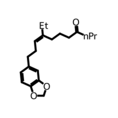 CCCC(=O)CCCC(=CCCc1ccc2c(c1)OCO2)CC